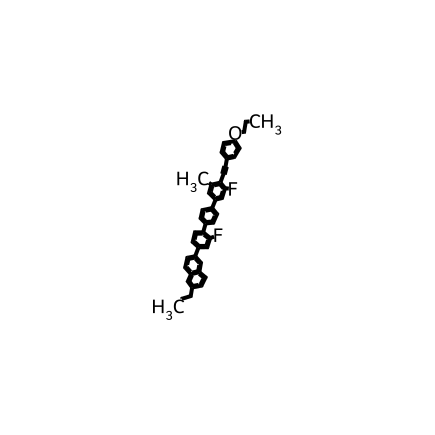 CCCOc1ccc(C#Cc2c(C)cc(-c3ccc(-c4ccc(-c5ccc6cc(CCC)ccc6c5)cc4F)cc3)cc2F)cc1